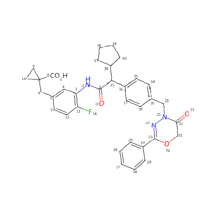 O=C(Nc1cc(CC2(C(=O)O)CC2)ccc1F)C(c1ccc(CN2N=C(c3ccccc3)OCC2=O)cc1)C1CCCC1